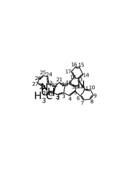 Cc1cc2cc3c4ccccc4n4c5ccccc5c(c2cc1-c1cccc[n+]1C)c34